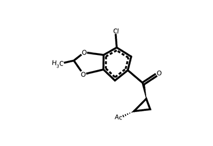 CC(=O)[C@H]1C[C@@H]1C(=O)c1cc(Cl)c2c(c1)OC(C)O2